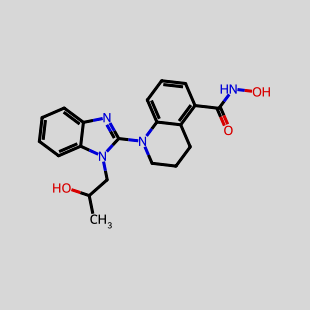 CC(O)Cn1c(N2CCCc3c(C(=O)NO)cccc32)nc2ccccc21